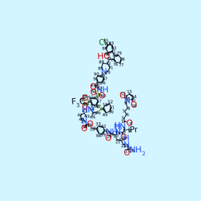 CC(C)[C@H](NC(=O)CCCCCN1C(=O)C=CC1=O)C(=O)N[C@@H](CCCNC(N)=O)C(=O)Nc1ccc(COC(=O)N2CCC[C@@H]2C[C@H](CSc2ccccc2)Nc2ccc(S(=O)(=O)NC(=O)c3ccc(N4CCC([C@@H](O)c5ccccc5-c5ccc(Cl)cc5)CC4)cc3)cc2S(=O)(=O)C(F)(F)F)cc1